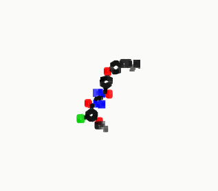 O=C(NCCNC(=O)c1cc(Cl)cc(OC(F)(F)F)c1)c1ccc(O[C@H]2CC[C@@H](C(=O)O)CC2)cc1